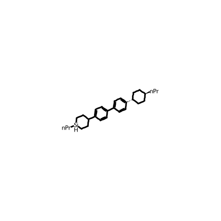 CCC[SiH]1CCC(c2ccc(-c3ccc([C@H]4CC[C@H](CCC)CC4)cc3)cc2)CC1